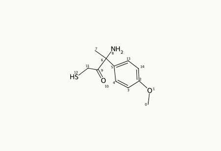 COc1ccc(C(C)(N)C(=O)CS)cc1